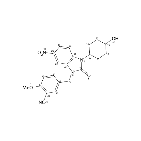 COc1ccc(Cn2c(=O)n(C3CCC(O)CC3)c3ccc([N+](=O)[O-])cc32)cc1C#N